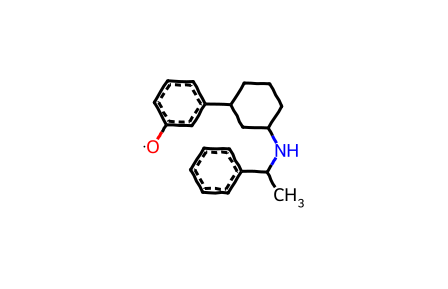 CC(NC1CCCC(c2cccc([O])c2)C1)c1ccccc1